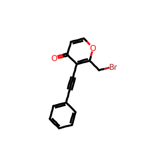 O=c1ccoc(CBr)c1C#Cc1ccccc1